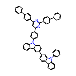 C1=CCC(c2ccc(-c3nc(-c4ccc(-c5ccccc5)cc4)cc(-c4ccc(-n5c6ccccc6c6cc(-c7ccc8c9ccccc9n(-c9ccccc9)c8c7)ccc65)cc4)n3)cc2)C=C1